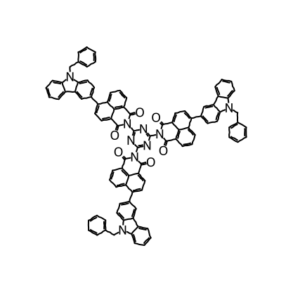 O=C1c2cccc3c(-c4ccc5c(c4)c4ccccc4n5Cc4ccccc4)ccc(c23)C(=O)N1c1nc(N2C(=O)c3cccc4c(-c5ccc6c(c5)c5ccccc5n6Cc5ccccc5)ccc(c34)C2=O)nc(N2C(=O)c3cccc4c(-c5ccc6c(c5)c5ccccc5n6Cc5ccccc5)ccc(c34)C2=O)n1